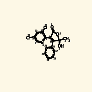 CC1(O)OC(=O)C(c2ncc(Cl)cc2Cl)=C1c1ccccc1